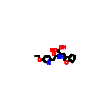 CCOc1ccc(CC(=O)NC(Cc2coc3ccccc23)B(O)O)nc1